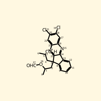 CC(CC1(CC(C)C(=O)O)c2ccccc2-c2nc3cc(Cl)c(Cl)cc3nc21)OC=O